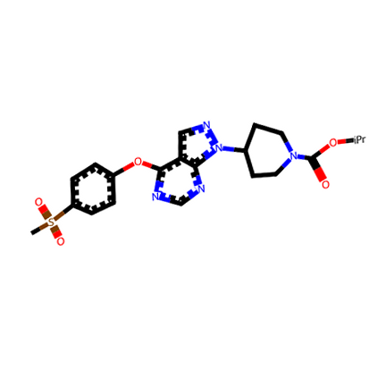 CC(C)OC(=O)N1CCC(n2ncc3c(Oc4ccc(S(C)(=O)=O)cc4)ncnc32)CC1